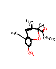 COC(=O)C1(C)Oc2cc(O)cc(OC)c2C=C1C